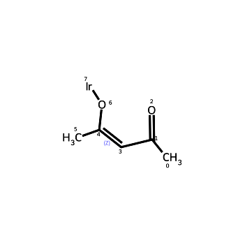 CC(=O)/C=C(/C)[O][Ir]